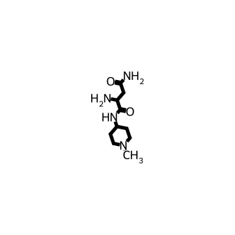 CN1CCC(NC(=O)C(N)CC(N)=O)CC1